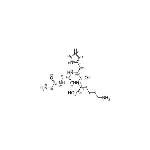 NCCCC[C@H](NC(=O)[C@H](Cc1c[nH]cn1)NC(=O)CNC(=O)CN)C(=O)O